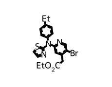 CCOC(=O)Cc1cc(N(c2ccc(CC)cc2)c2nccs2)ncc1Br